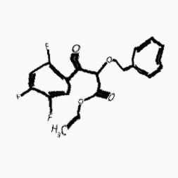 CCOC(=O)C(OCc1ccccc1)C(=O)c1cc(F)c(F)cc1F